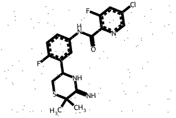 CC1(C)SCC(c2cc(NC(=O)c3ncc(Cl)cc3F)ccc2F)NC1=N